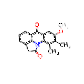 COc1cc2c(=O)c3cccc4c3n(c2c(C)c1C)C(=O)C4